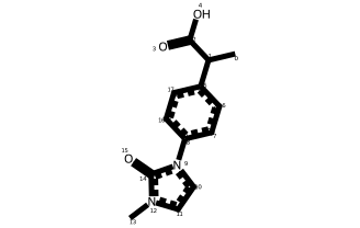 CC(C(=O)O)c1ccc(-n2ccn(C)c2=O)cc1